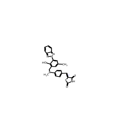 Cc1cc(CN(C)c2ccc(/C=C3\SC(=O)NC3=S)cc2)c(O)c(-n2nc3ccccc3n2)c1